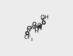 CC(C)(O)c1cccc(-c2cnc(N[C@@H]3CCCC[C@H]3N[C@H]3CCCN(c4ccc(C(F)(F)F)cc4)C3)o2)c1